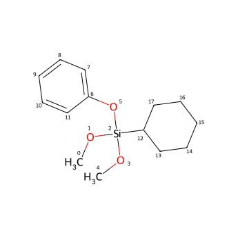 CO[Si](OC)(Oc1ccccc1)C1CCCCC1